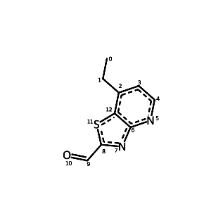 CCc1ccnc2nc(C=O)sc12